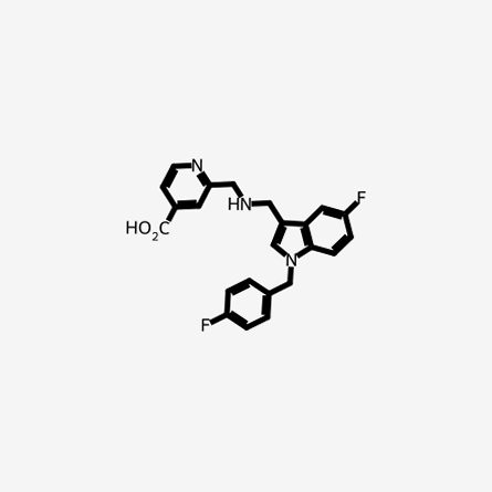 O=C(O)c1ccnc(CNCc2cn(Cc3ccc(F)cc3)c3ccc(F)cc23)c1